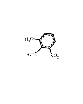 Cc1cccc([N+](=O)[O-])c1[C]=O